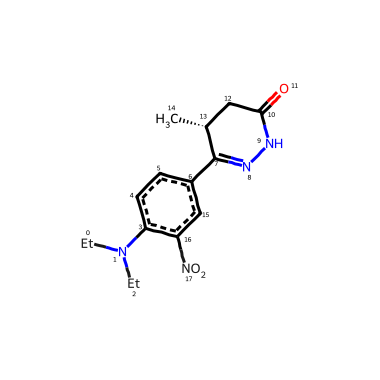 CCN(CC)c1ccc(C2=NNC(=O)C[C@H]2C)cc1[N+](=O)[O-]